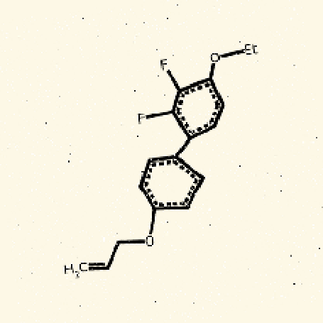 C=CCOc1ccc(-c2ccc(OCC)c(F)c2F)cc1